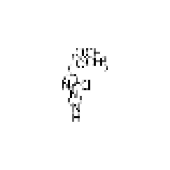 CC1(C)OC[C@@H](Cc2cnc(N3CCNCC3)c(Cl)c2)O1